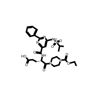 CCOC(=O)N1CCN(C(=O)[C@H](CCC(=O)O)NC(=O)c2cc(NS(=O)(=O)C(C)C)nc(-c3ccccc3)n2)CC1